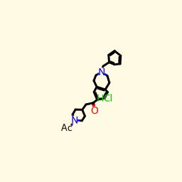 CC(=O)N1CCC(CC(=O)c2ccc3c(c2)CCN(Cc2ccccc2)CC3)CC1.Cl